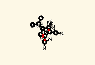 N#Cc1ccc(-c2ccc3c(c2)c2cc(-c4ccc(C#N)cc4C#N)ccc2n3-c2c(-c3cccc(C(F)(F)F)c3)cc(-c3nc(-c4ccccc4)cc(-c4ccccc4)n3)cc2-c2cccc(C(F)(F)F)c2)c(C#N)c1